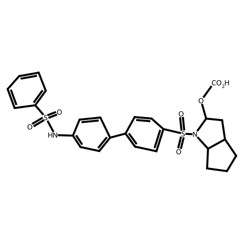 O=C(O)OC1CC2CCCC2N1S(=O)(=O)c1ccc(-c2ccc(NS(=O)(=O)c3ccccc3)cc2)cc1